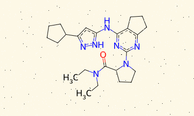 CCN(CC)C(=O)C1CCCN1c1nc2c(c(Nc3cc(C4CCCC4)n[nH]3)n1)CCC2